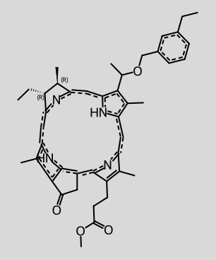 CCc1cccc(COC(C)c2c(C)c3cc4nc(c5c6[nH]c(cc7nc(cc2[nH]3)[C@H](C)[C@H]7CC)c(C)c6C(=O)C5)C(CCC(=O)OC)=C4C)c1